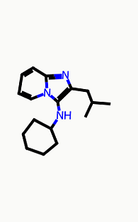 CC(C)Cc1nc2ccccn2c1NC1CCCCC1